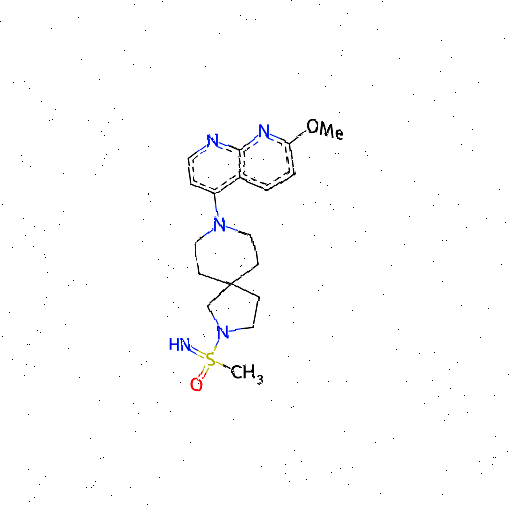 COc1ccc2c(N3CCC4(CC3)CCN(S(C)(=N)=O)C4)ccnc2n1